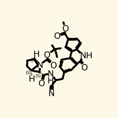 COC(=O)c1ccc2[nH]c(=O)c3cc(CC(C#N)NC(=O)[C@@H]4[C@H]5CC[C@H](C5)N4C(=O)OC(C)(C)C)ccc3c2c1